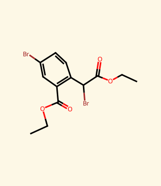 CCOC(=O)c1cc(Br)ccc1C(Br)C(=O)OCC